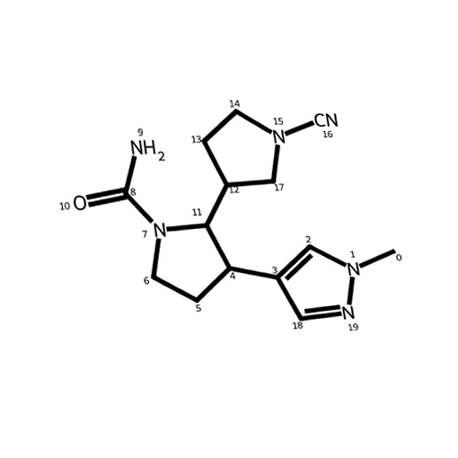 Cn1cc(C2CCN(C(N)=O)C2C2CCN(C#N)C2)cn1